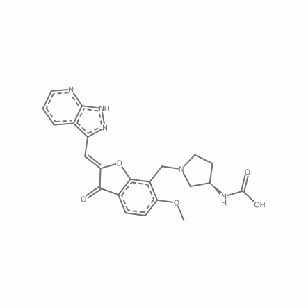 COc1ccc2c(c1CN1CC[C@@H](NC(=O)O)C1)O/C(=C\c1n[nH]c3ncccc13)C2=O